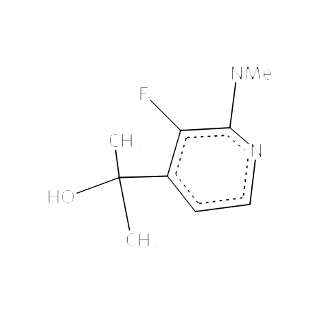 CNc1nccc(C(C)(C)O)c1F